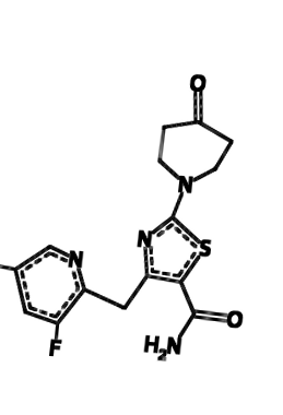 NC(=O)c1sc(N2CCC(=O)CC2)nc1Cc1ncc(F)cc1F